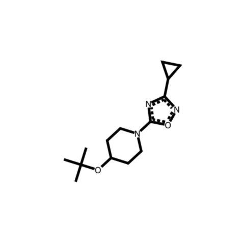 CC(C)(C)OC1CCN(c2nc(C3CC3)no2)CC1